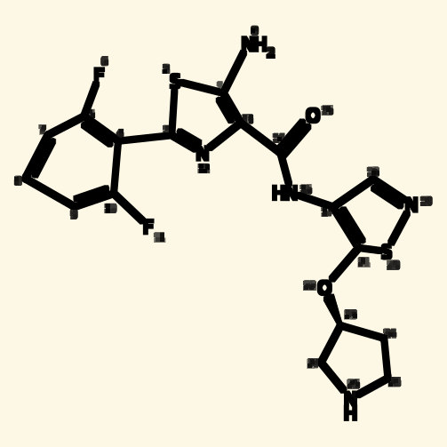 Nc1sc(-c2c(F)cccc2F)nc1C(=O)Nc1cnsc1O[C@H]1CCNC1